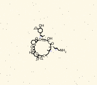 CO[C@H]1C[C@@H](C)C/C(C)=C/[C@@H](C/C=C/CN)C(=O)C[C@H](O)[C@@H](C)[C@@H](/C(C)=C/[C@@H]2CC[C@@H](O)[C@H](OC)C2)OC(=O)[C@@H]2CCCCN2C(=O)C(=O)[C@]2(O)O[C@H]1[C@@H](OC)C[C@H]2C